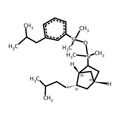 CC(C)CC[C@H]1C[C@H]2CC([Si](C)(C)O[Si](C)(C)c3cccc(CC(C)C)c3)[C@@H]1C2